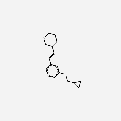 C(=C\C1CCCNC1)/c1cncc(OCC2CC2)c1